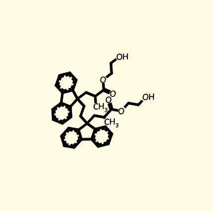 CC(CC1(CCC2(CC(C)C(=O)OCCO)c3ccccc3-c3ccccc32)c2ccccc2-c2ccccc21)C(=O)OCCO